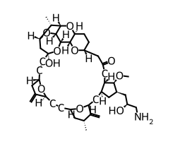 C=C1C[C@@H]2CC[C@@]3(O)C[C@H]4O[C@H]5[C@@H](O3)[C@H]3O[C@H](CC[C@@H]3O[C@H]5[C@H]4C)CC(=O)C[C@H]3[C@@H](C[C@H](C[C@H](O)CN)[C@@H]3OC)C[C@H]3O[C@@H](CC[C@@H]1O2)C[C@@H](C)C3=C